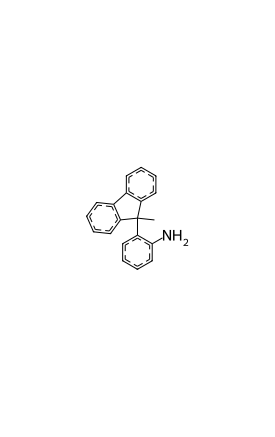 CC1(c2ccccc2N)c2ccccc2-c2ccccc21